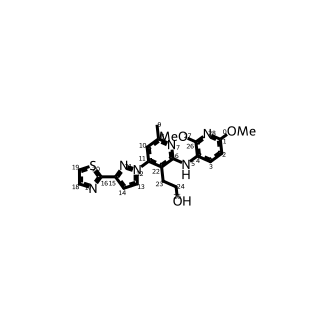 COc1ccc(Nc2nc(C)cc(-n3ccc(-c4nccs4)n3)c2CCO)c(OC)n1